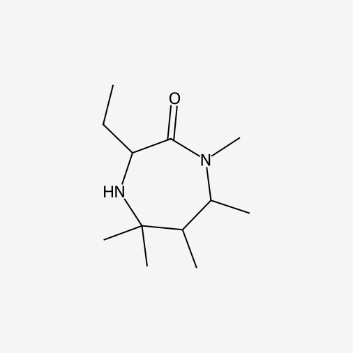 CCC1NC(C)(C)C(C)C(C)N(C)C1=O